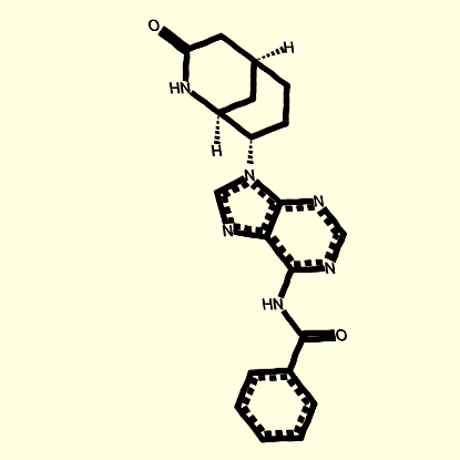 O=C1C[C@H]2CC[C@H](n3cnc4c(NC(=O)c5ccccc5)ncnc43)[C@H](C2)N1